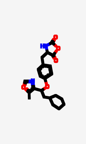 Cc1ocnc1C(CC1CCCCC1)Oc1ccc(CC2NC(=O)OC2=O)cc1